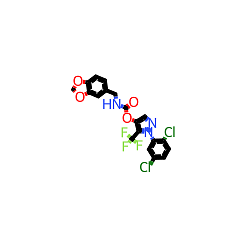 O=C(NCc1ccc2c(c1)OCO2)Oc1cnn(-c2cc(Cl)ccc2Cl)c1C(F)(F)F